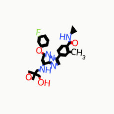 Cc1cc(-c2cnc3c(NCC4(CO)COC4)cc(Oc4cccc(F)c4)nn23)ccc1C(=O)NC1CC1